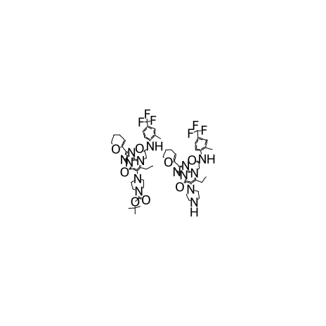 CCc1c(N2CCN(C(=O)OC(C)(C)C)CC2)c(=O)n2nc(C3=CCCCO3)nc2n1CC(=O)Nc1ccc(C(F)(F)F)cc1C.CCc1c(N2CCNCC2)c(=O)n2nc(C3=CCCCO3)nc2n1CC(=O)Nc1ccc(C(F)(F)F)cc1C